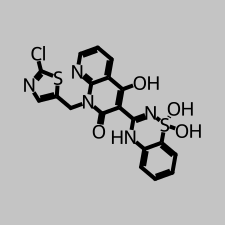 O=c1c(C2=NS(O)(O)c3ccccc3N2)c(O)c2cccnc2n1Cc1cnc(Cl)s1